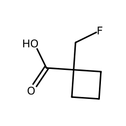 O=C(O)C1(CF)CCC1